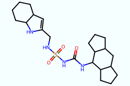 O=C(NC1C2CCCC2CC2CCCC21)NS(=O)(=O)NCC1=CC2CCCCC2N1